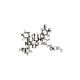 COCCN1C[C@@H](NC(=O)Nc2c(Cl)c([C@@H]3CCCN3)nn2-c2ccccc2)[C@H](c2ccc(F)c(F)c2)C1